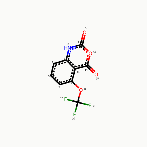 O=c1[nH]c2cccc(OC(F)(F)F)c2c(=O)o1